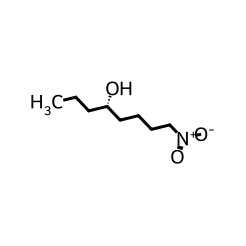 CCC[C@H](O)CCCC[N+](=O)[O-]